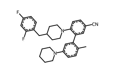 Cc1ccc(N2CCCCC2)cc1-c1cc(C#N)ccc1N1CCC(Cc2ccc(F)cc2F)CC1